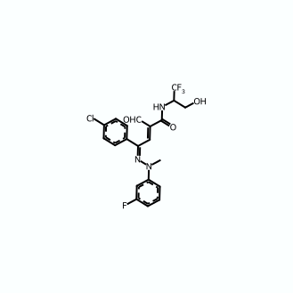 CN(/N=C(\C=C(/C=O)C(=O)NC(CO)C(F)(F)F)c1ccc(Cl)cc1)c1cccc(F)c1